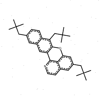 CC(C)(C)Cc1ccc2c(CC(C)(C)C)c3c(cc2c1)-c1nccc2cc(CC(C)(C)C)cc(c12)O3